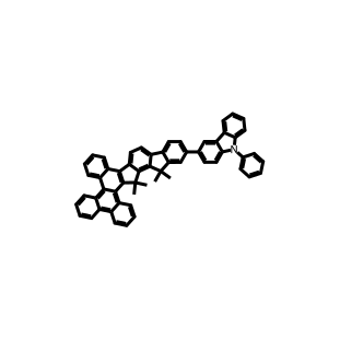 CC1(C)c2cc(-c3ccc4c(c3)c3ccccc3n4-c3ccccc3)ccc2-c2ccc3c(c21)C(C)(C)c1c-3c2ccccc2c2c3ccccc3c3ccccc3c12